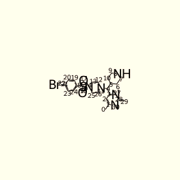 Cc1cc(C(C2CCNCC2)N2CCN(S(=O)(=O)c3ccc(Br)cc3)CC2)nc(C)n1